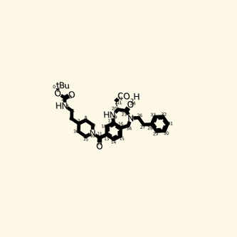 CC(C)(C)OC(=O)NCCC1CCN(C(=O)c2ccc3c(c2)N[C@H](CC(=O)O)C(=O)N(CCc2ccccc2)C3)CC1